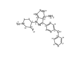 [2H]N1CCC(n2nc(-c3ccc(Oc4ccccc4)cc3)c3c(N)ncnc32)C(F)C1